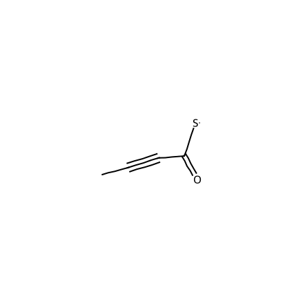 CC#CC(=O)[S]